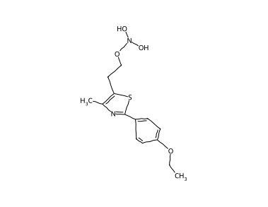 CCOc1ccc(-c2nc(C)c(CCON(O)O)s2)cc1